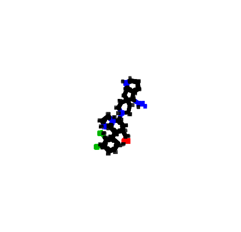 NC1c2cccnc2CC12CCN(c1cc(CO)c(-c3cccc(Cl)c3Cl)c3nccn13)CC2